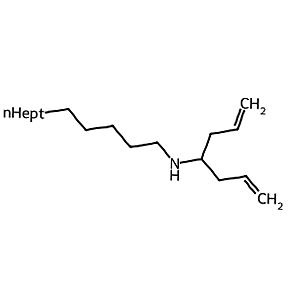 C=CCC(CC=C)NCCCCCCCCCCCC